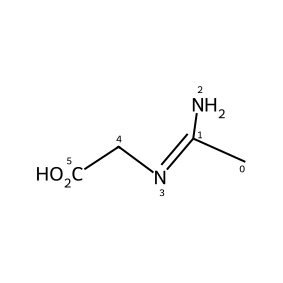 CC(N)=NCC(=O)O